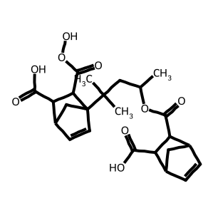 CC(CC(C)(C)C12C=CC(C1)C(C(=O)O)C2C(=O)OO)OC(=O)C1C2C=CC(C2)C1C(=O)O